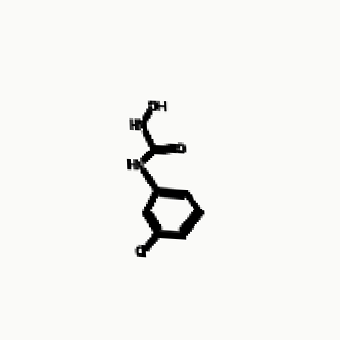 O=C(NO)Nc1cccc(Cl)c1